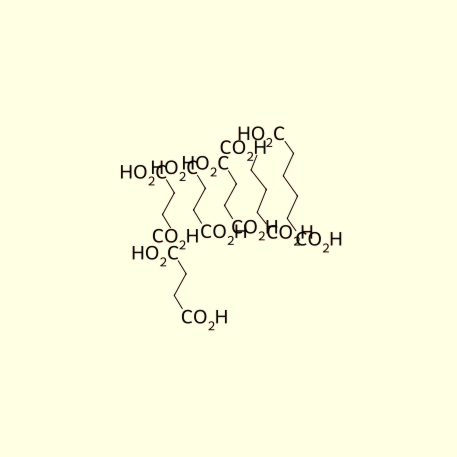 O=C(O)CCC(=O)O.O=C(O)CCC(=O)O.O=C(O)CCC(=O)O.O=C(O)CCC(=O)O.O=C(O)CCCC(=O)O.O=C(O)CCCCC(=O)O